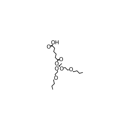 CCCCOCCOC(C)(OCCOCCCC)OC(=O)CCCCC(=O)O